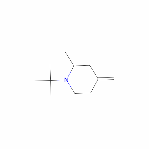 C=C1CCN(C(C)(C)C)C(C)C1